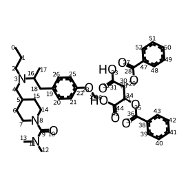 CCCN(CC1CCN(C(=O)N(C)C)CC1)C(C)Cc1ccc(OC)cc1.O=C(O[C@@H](C(=O)O)[C@@H](OC(=O)c1ccccc1)C(=O)O)c1ccccc1